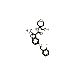 Cc1sc2ccc(OCc3ccccc3F)cc2c1C(=O)NC1(CO)CCOCC1